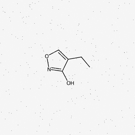 CCc1conc1O